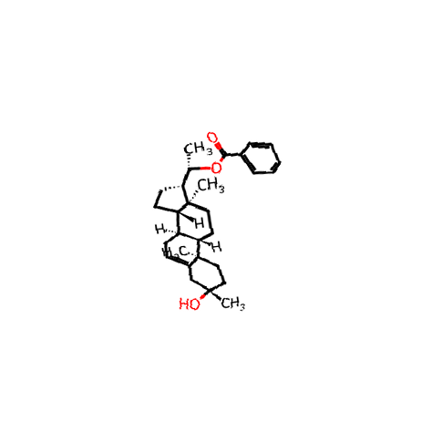 C[C@H](OC(=O)c1ccccc1)[C@H]1CC[C@H]2[C@@H]3CC=C4C[C@@](C)(O)CC[C@]4(C)[C@H]3CC[C@]12C